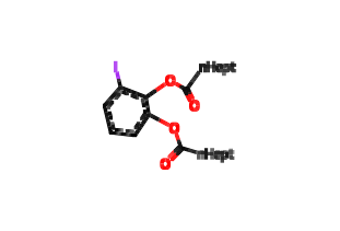 CCCCCCCC(=O)Oc1cccc(I)c1OC(=O)CCCCCCC